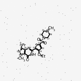 CCCc1nn(C)c2c(=O)[nH]c(-c3sc(S(=O)(=O)N4CCN(C)CC4)cc3OCC)nc12